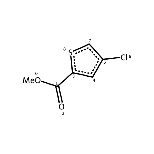 COC(=O)c1cc(Cl)cs1